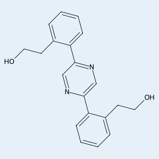 OCCc1ccccc1-c1cnc(-c2ccccc2CCO)cn1